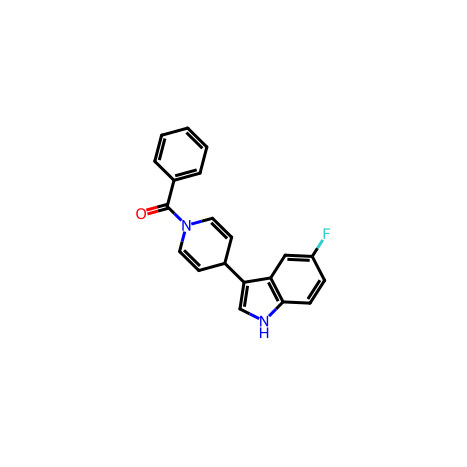 O=C(c1ccccc1)N1C=CC(c2c[nH]c3ccc(F)cc23)C=C1